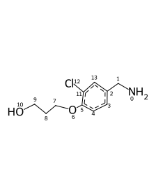 NCc1ccc(OCCCO)c(Cl)c1